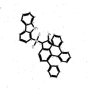 CC(C)C1=Cc2c(ccc(-c3ccccc3)c2-c2ccccc2-c2ccccc2)[CH]1[Zr]([Cl])([Cl])[c]1cccc2c1[SiH2]c1ccccc1-2